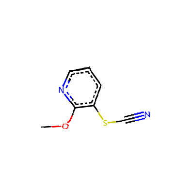 COc1ncccc1SC#N